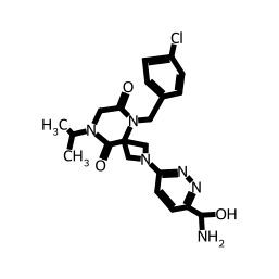 CC(C)N1CC(=O)N(Cc2ccc(Cl)cc2)C2(CN(c3ccc(C(N)O)nn3)C2)C1=O